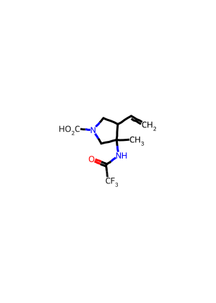 C=CC1CN(C(=O)O)CC1(C)NC(=O)C(F)(F)F